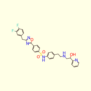 O=S(=O)(Nc1ccc(CCNC[C@@H](O)c2ccccn2)cc1)c1ccc(-c2nc(Cc3ccc(F)c(F)c3)no2)cc1